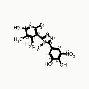 Cc1nc(Br)c(-c2nnc(-c3cc(O)c(O)c([N+](=O)[O-])c3)n2C)c(C)c1C